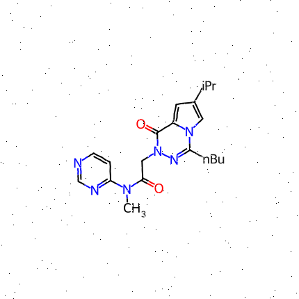 CCCCc1nn(CC(=O)N(C)c2ccncn2)c(=O)c2cc(C(C)C)cn12